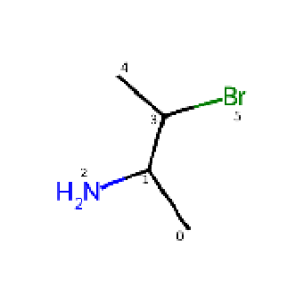 CC(N)C(C)Br